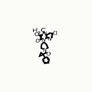 Cn1c(=O)c(=O)n(C2CCN(C(=O)C3(c4ccccc4)CC3)CC2)c2ncc(Cl)cc21